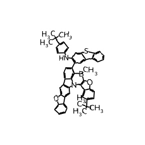 CB1c2oc3ccc(C(C)(C)C)cc3c2-n2c3cc4c(cc3c3ccc(-c5cc6c(cc5Nc5ccc(C(C)(C)C)cc5)sc5ccccc56)c1c32)oc1ccccc14